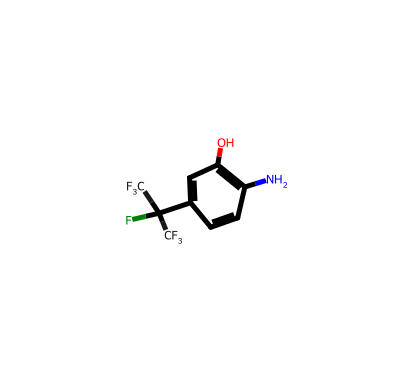 Nc1ccc(C(F)(C(F)(F)F)C(F)(F)F)cc1O